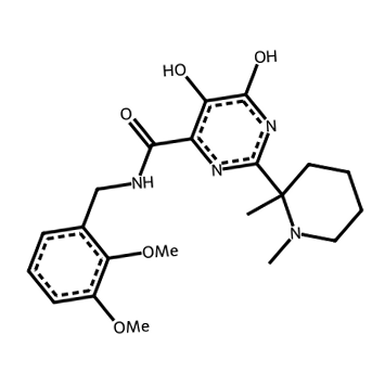 COc1cccc(CNC(=O)c2nc(C3(C)CCCCN3C)nc(O)c2O)c1OC